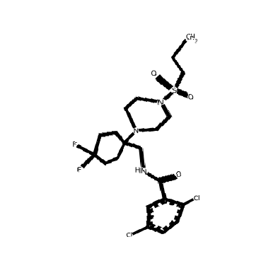 CCCS(=O)(=O)N1CCN(C2(CNC(=O)c3cc(Cl)ccc3Cl)CCC(F)(F)CC2)CC1